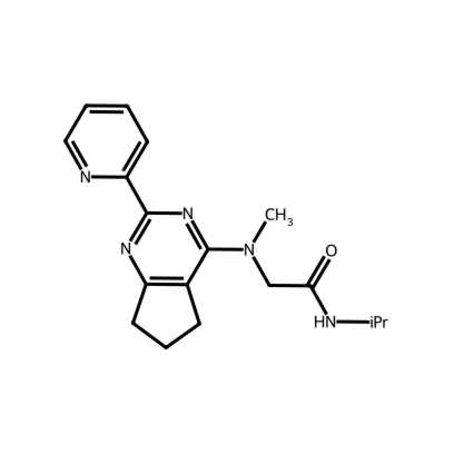 CC(C)NC(=O)CN(C)c1nc(-c2ccccn2)nc2c1CCC2